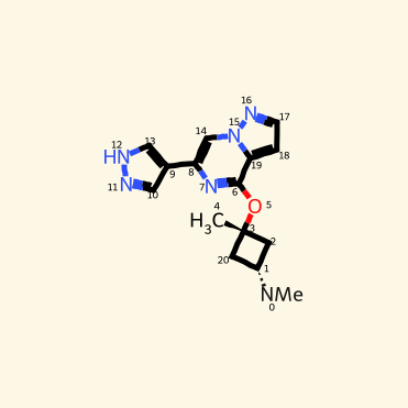 CN[C@H]1C[C@@](C)(Oc2nc(-c3cn[nH]c3)cn3nccc23)C1